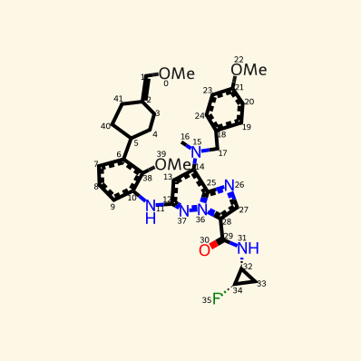 COC=C1CCC(c2cccc(Nc3cc(N(C)Cc4ccc(OC)cc4)c4ncc(C(=O)N[C@@H]5C[C@@H]5F)n4n3)c2OC)CC1